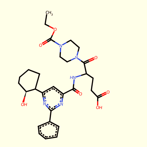 CCOC(=O)N1CCN(C(=O)C(CCC(=O)O)NC(=O)c2cc(C3CCCC[C@@H]3O)nc(-c3ccccc3)n2)CC1